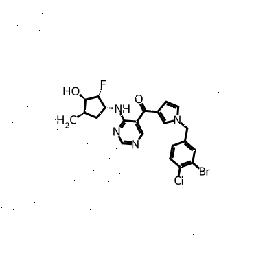 [CH2][C@@H]1C[C@@H](Nc2ncncc2C(=O)c2ccn(Cc3ccc(Cl)c(Br)c3)c2)[C@@H](F)[C@@H]1O